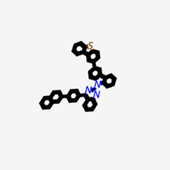 c1ccc2cc(-c3ccc(-c4nc(-n5c6ccccc6c6cc(-c7ccc8sc9ccccc9c8c7)ccc65)nc5ccccc45)cc3)ccc2c1